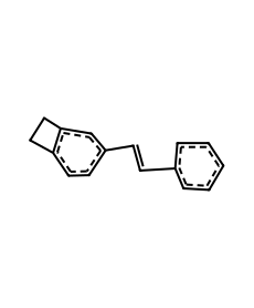 C(=Cc1ccc2c(c1)CC2)c1ccccc1